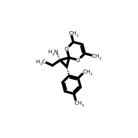 CC[C@]1(N)[C@@H](c2ccc(C)cc2C)C12OC(C)=CC(C)O2